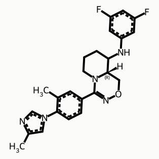 Cc1cn(-c2ccc(C3=NOC[C@H]4C(Nc5cc(F)cc(F)c5)CCCN34)cc2C)cn1